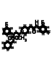 C[C@H](CN(c1cccc(F)c1)S(=O)(=O)CC1CCCCC1)N1CCC(CC(=O)Nc2ccc(F)cc2F)CC1